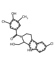 Cc1cc(C(=O)N2CCc3c([nH]c4ccc(Cl)cc34)C2CO)cc(Cl)c1O